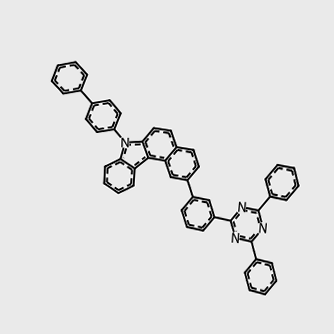 c1ccc(-c2ccc(-n3c4ccccc4c4c5cc(-c6cccc(-c7nc(-c8ccccc8)nc(-c8ccccc8)n7)c6)ccc5ccc43)cc2)cc1